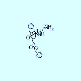 NCCCN[PH](=O)CC(CCC(=O)OCc1ccccc1)C(=O)OCc1ccccc1